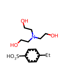 CCc1ccc(S(=O)(=O)O)cc1.OCCN(CCO)CCO